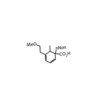 CCCCCCCCCC1(C(=O)O)C=CC=C(CCOC)C1C